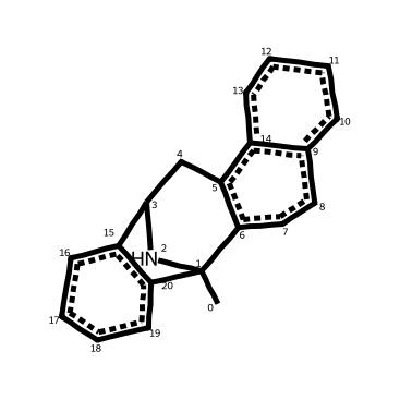 CC12NC(Cc3c1ccc1ccccc31)c1ccccc12